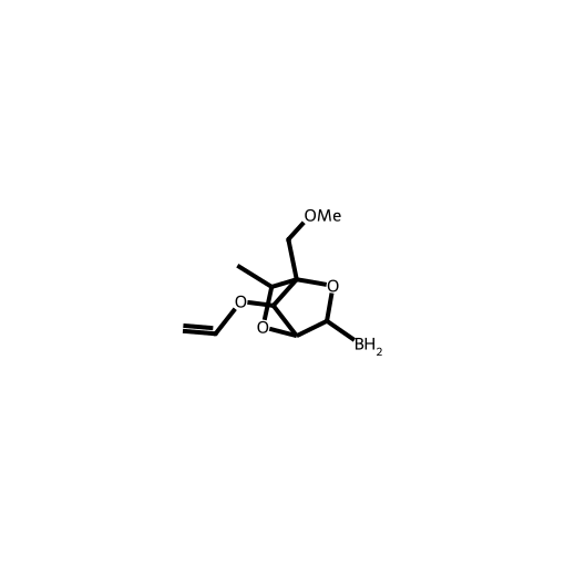 BC1OC2(COC)C(C)OC1C2OC=C